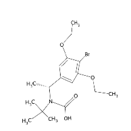 CCOc1cc([C@@H](C)N(C(=O)O)C(C)(C)C)cc(OCC)c1Br